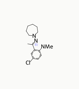 CNc1ccc(Cl)cc1/C(C)=N/N1CCCCCC1